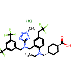 CCN(C[C@H]1CC[C@H](C(=O)O)CC1)c1ccc(CC(F)(F)F)cc1CN(Cc1cc(C(F)(F)F)cc(C(F)(F)F)c1)c1nnn(C)n1.Cl